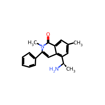 Cc1cc([C@@H](C)N)c2cc(-c3ccccc3)n(C)c(=O)c2c1